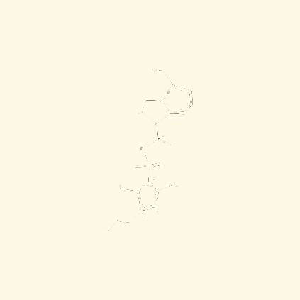 COc1cccc2c1CCC2C(=O)NS(=O)(=O)c1c(C)nn(CCCl)c1C